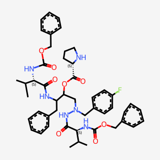 CC(C)[C@H](NC(=O)OCc1ccccc1)C(=O)NC(Cc1ccccc1)C(CN(Cc1ccc(F)cc1)NC(=O)[C@@H](NC(=O)OCc1ccccc1)C(C)C)OC(=O)[C@@H]1CCCN1